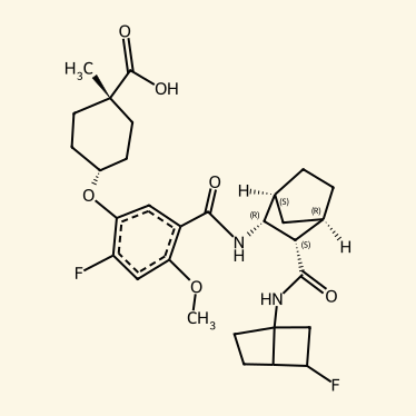 COc1cc(F)c(O[C@H]2CC[C@@](C)(C(=O)O)CC2)cc1C(=O)N[C@@H]1[C@H]2CC[C@H](C2)[C@@H]1C(=O)NC12CCC1C(F)C2